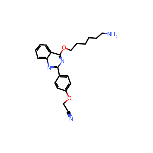 N#CCOc1ccc(-c2nc(OCCCCCCN)c3ccccc3n2)cc1